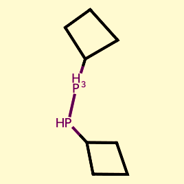 C1CC(P[PH3]C2CCC2)C1